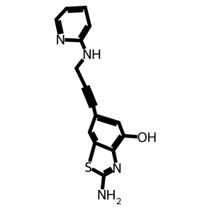 Nc1nc2c(O)cc(C#CCNc3ccccn3)cc2s1